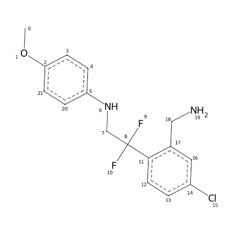 COc1ccc(NCC(F)(F)c2ccc(Cl)cc2CN)cc1